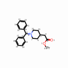 CC(C)OC(=O)CC1CCN(C(c2ccccc2)c2ccccc2)CC1